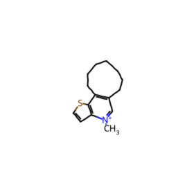 C[n+]1cc2c(c3sccc31)CCCCCCC2